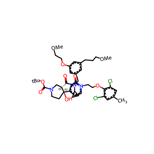 COCCCc1cc(CN(C(=O)[C@H]2CN(C(=O)OC(C)(C)C)CC[C@@]2(O)c2ccn(CCOc3c(Cl)cc(C)cc3Cl)c(=O)c2)C2CC2)cc(OCCOC)c1